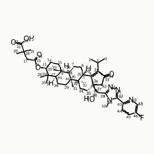 CC(C)C1=C2[C@H]3CC[C@@H]4[C@@]5(C)CC[C@H](OC(=O)CC(C)(C)C(=O)O)C(C)(C)[C@@H]5CC[C@@]4(C)[C@]3(C)CC[C@@]2([C@@H](O)c2nnc(-c3ccc(F)cn3)n2C)CC1=O